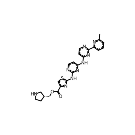 Cc1cccc(-c2nccc(Nc3ccnc(Nc4nc(C(=O)OC[C@@H]5CCNC5)cs4)n3)n2)n1